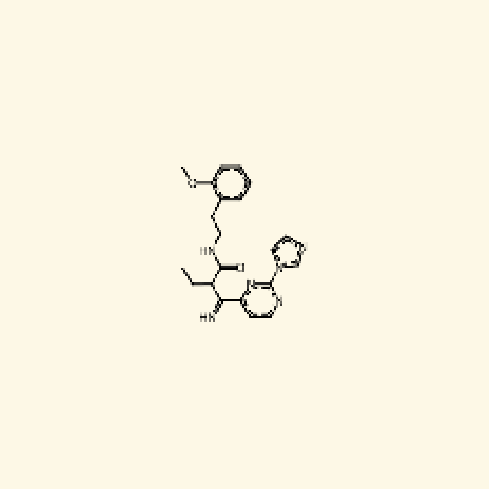 CCC(C(=N)c1ccnc(-n2ccnc2)n1)C(=O)NCCc1ccccc1OC